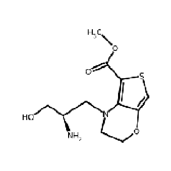 COC(=O)c1scc2c1N(C[C@@H](N)CO)CCO2